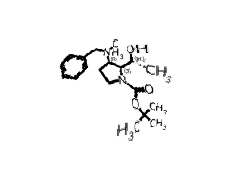 C[C@@H](O)[C@@H]1[C@H](N(C)Cc2ccccc2)CCN1C(=O)OC(C)(C)C